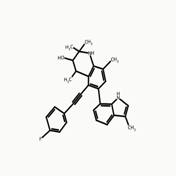 Cc1cc(-c2cccc3c(C)c[nH]c23)c(C#Cc2ccc(F)cc2)c2c1NC(C)(C)C(O)C2C